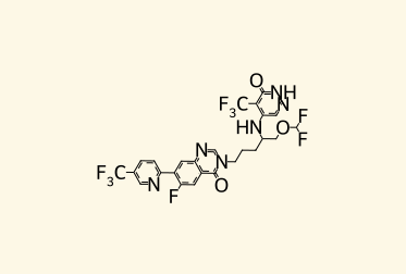 O=c1[nH]ncc(NC(CCCn2cnc3cc(-c4ccc(C(F)(F)F)cn4)c(F)cc3c2=O)COC(F)F)c1C(F)(F)F